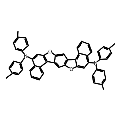 Cc1ccc(N(c2ccc(C)cc2)c2cc3oc4cc5c(cc4c3c3ccccc23)oc2cc(N(c3ccc(C)cc3)c3ccc(C)cc3)c3ccccc3c25)cc1